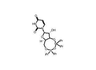 CC(C)[Si]1(C(C)C)OC[C@H]2O[C@@H](n3ccc(=O)[nH]c3=O)[C@H](O)C2O[Si](C(C)C)(C(C)C)O1